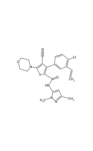 C=Cc1cc(-c2c(C(=O)Nc3cc(C)nn3C)sc(N3CCOCC3)c2C#N)ccc1Cl